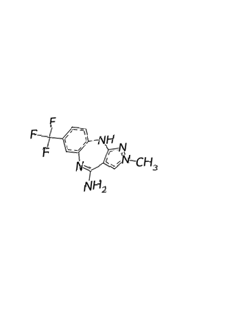 Cn1cc2c(n1)Nc1ccc(C(F)(F)F)cc1N=C2N